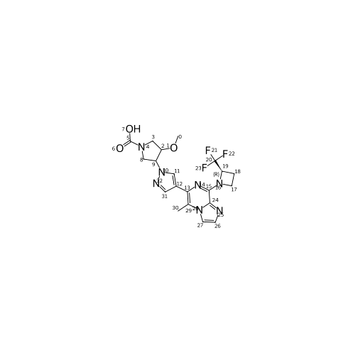 COC1CN(C(=O)O)CC1n1cc(-c2nc(N3CC[C@@H]3C(F)(F)F)c3nccn3c2C)cn1